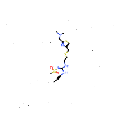 CC#CNC(=NS(C)(=O)=O)NCCSCc1csc(CN(C)C)n1